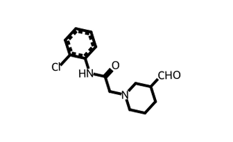 O=CC1CCCN(CC(=O)Nc2ccccc2Cl)C1